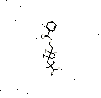 O=C(SCCC(F)(F)C(F)(F)CC(F)(F)C(F)F)c1ccccc1